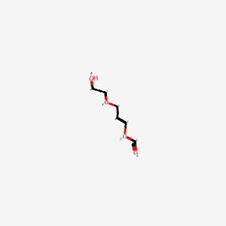 O=[C]OCCCOCCO